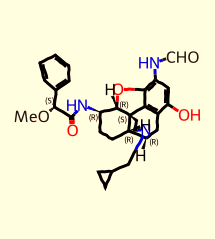 CO[C@H](C(=O)N[C@@H]1CC[C@H]2[C@H]3Cc4c(O)cc(NC=O)c5c4[C@@]2(CCN3CC2CC2)[C@H]1O5)c1ccccc1